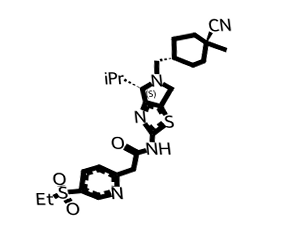 CCS(=O)(=O)c1ccc(CC(=O)Nc2nc3c(s2)CN(C[C@H]2CC[C@](C)(C#N)CC2)[C@H]3C(C)C)nc1